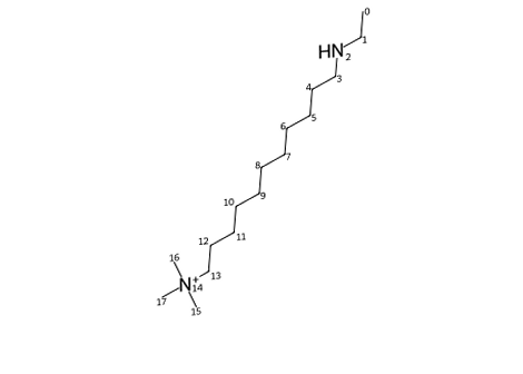 CCNCCCCCCCCCCC[N+](C)(C)C